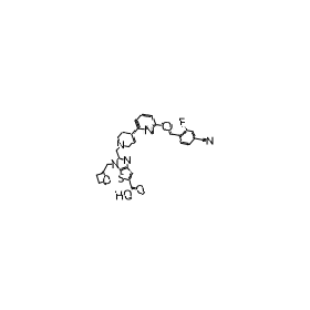 N#Cc1ccc(COc2cccc(C3CCN(Cc4nc5cc(C(=O)O)sc5n4CC4CCO4)CC3)n2)c(F)c1